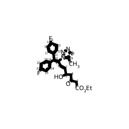 CCOC(=O)CC(=O)CC(O)/C=C/C(=C(c1ccc(F)cc1)c1ccc(F)cc1)n1nnnc1C